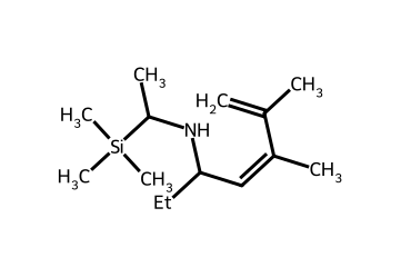 C=C(C)/C(C)=C\C(CC)NC(C)[Si](C)(C)C